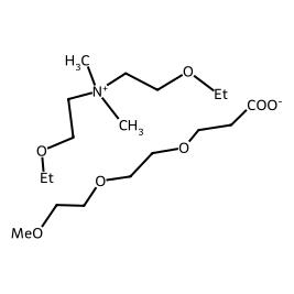 CCOCC[N+](C)(C)CCOCC.COCCOCCOCCC(=O)[O-]